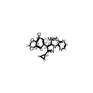 COc1nccnc1-n1nc(C2CC2)c(-c2cc(Cl)c3c(c2)OCO3)c1N